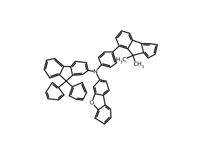 CC1(C)c2ccccc2-c2cccc(-c3ccc(N(c4ccc5c(c4)C(c4ccccc4)(c4ccccc4)c4ccccc4-5)c4ccc5c(c4)oc4ccccc45)cc3)c21